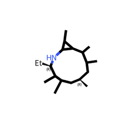 CC[C@H]1NC2C(C)C2C(C)C(C)C[C@@H](C)CC(C)C1C